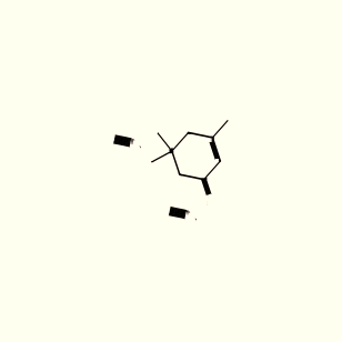 C#N.C#N.CC1=CC(=O)CC(C)(C)C1